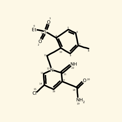 CCS(=O)(=O)c1ccc(C)cc1Cn1cc(Cl)cc(C(N)=O)c1=N